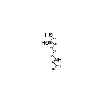 CC(C)CNCCCC[C@H](O)CO